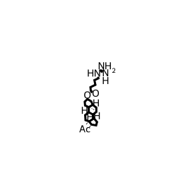 CC(=O)[C@H]1CC[C@H]2[C@@H]3CC[C@H]4C[C@H](OC(=O)CCCCNC(=N)N)CC[C@]4(C)[C@H]3CC[C@]12C